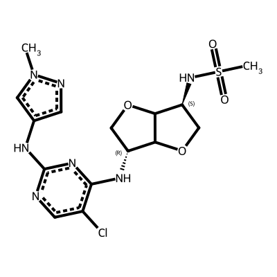 Cn1cc(Nc2ncc(Cl)c(N[C@@H]3COC4C3OC[C@@H]4NS(C)(=O)=O)n2)cn1